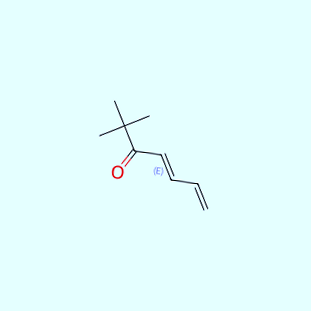 C=C/C=C/C(=O)C(C)(C)C